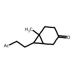 CC(=O)CCC1C2CC(=O)CCC12C